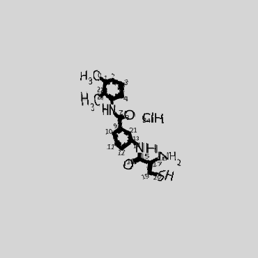 Cc1cccc(NC(=O)c2cccc(NC(=O)C(N)CS)c2)c1C.Cl